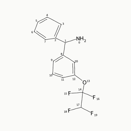 NC(c1ccccc1)c1cccc(OC(F)(F)C(F)F)c1